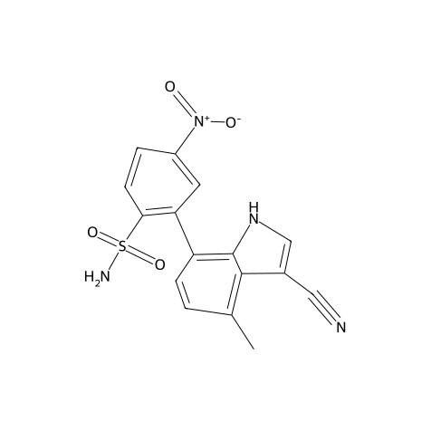 Cc1ccc(-c2cc([N+](=O)[O-])ccc2S(N)(=O)=O)c2[nH]cc(C#N)c12